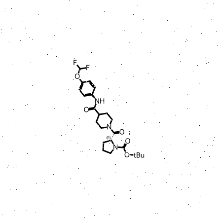 CC(C)(C)OC(=O)N1CCC[C@@H]1C(=O)N1CCC(C(=O)Nc2ccc(OC(F)F)cc2)CC1